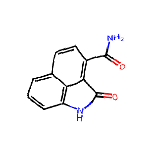 NC(=O)c1ccc2cccc3c2c1C(=O)N3